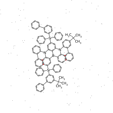 CC(C)(C)c1cc(-c2ccccc2)cc([Si](c2ccccc2)(c2ccccc2)c2ccc3c(c2)B2c4ccccc4N(c4ccc(C(C)(C)C)cc4-c4ccccc4)c4cc([Si](c5ccccc5)(c5ccccc5)c5cccc(-c6ccccc6)c5)cc(c42)N3c2ccccc2-c2ccccc2)c1